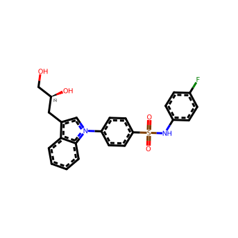 O=S(=O)(Nc1ccc(F)cc1)c1ccc(-n2cc(C[C@H](O)CO)c3ccccc32)cc1